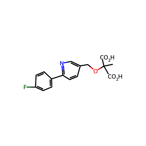 CC(OCc1ccc(-c2ccc(F)cc2)nc1)(C(=O)O)C(=O)O